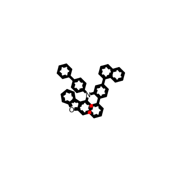 c1ccc(-c2ccc(N(c3cc(-c4cccc5ccccc45)ccc3-c3ccccc3)c3cccc4oc5ccccc5c34)cc2)cc1